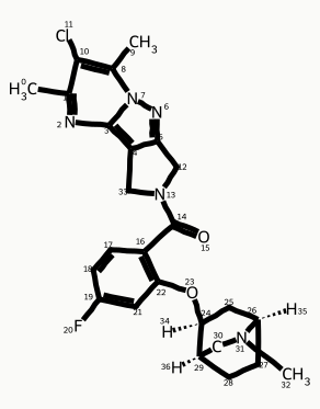 Cc1nc2c3c(nn2c(C)c1Cl)CN(C(=O)c1ccc(F)cc1O[C@H]1C[C@H]2CC[C@@H]1CN2C)C3